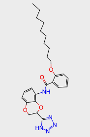 CCCCCCCCCCOc1ccccc1C(=O)Nc1cccc2c1OC(c1nnn[nH]1)CO2